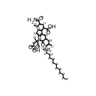 CCCCCCCCCCCC[N+](C)(C)CC(C)CC(CC1CCCC1C(CC(CC)C(N)=O)C(=O)O)C(=O)NC(C)(C)CS(=O)(=O)O